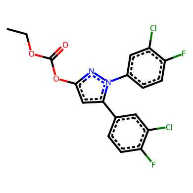 CCOC(=O)Oc1cc(-c2ccc(F)c(Cl)c2)n(-c2ccc(F)c(Cl)c2)n1